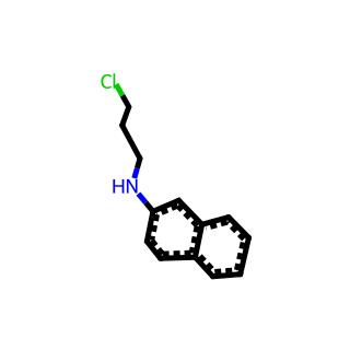 ClCCCNc1ccc2ccccc2c1